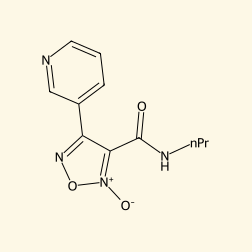 CCCNC(=O)c1c(-c2cccnc2)no[n+]1[O-]